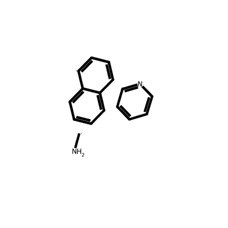 [CH2]N.[c]1cccc2ccccc12.c1ccncc1